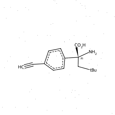 C#Cc1ccc([C@](N)(CC(C)(C)C)C(=O)O)cc1